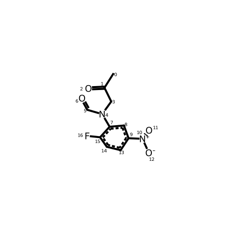 CC(=O)CN(C=O)c1cc([N+](=O)[O-])ccc1F